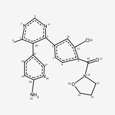 Cc1ncnc(-c2ccc(C(=O)N3CCCO3)c(Cl)c2)c1-c1ccc(N)nc1